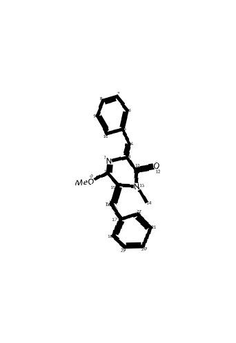 COc1n/c(=C\c2ccccc2)c(=O)n(C)/c1=C\c1ccccc1